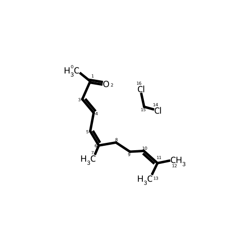 CC(=O)C=CC=C(C)CCC=C(C)C.ClCCl